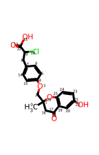 CC1(COc2ccc(CC(Cl)C(=O)O)cc2)CC(=O)c2cc(O)ccc2O1